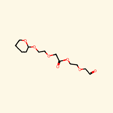 O=CCOCCOC(=O)COCCOC1CCCCO1